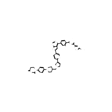 Cc1cc(-c2ncnc3[nH]c(-c4ccc(C5=CCN(CC6CCN(c7ccc(N8CCC(=O)NC8=O)cc7)CC6)C5)nc4)cc23)ccc1C(C)NC(=O)c1nc(C(C)(C)C)no1